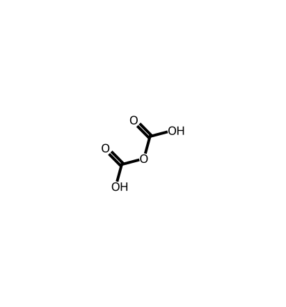 O=C(O)OC(=O)O